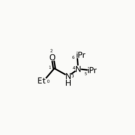 CCC(=O)NN(C(C)C)C(C)C